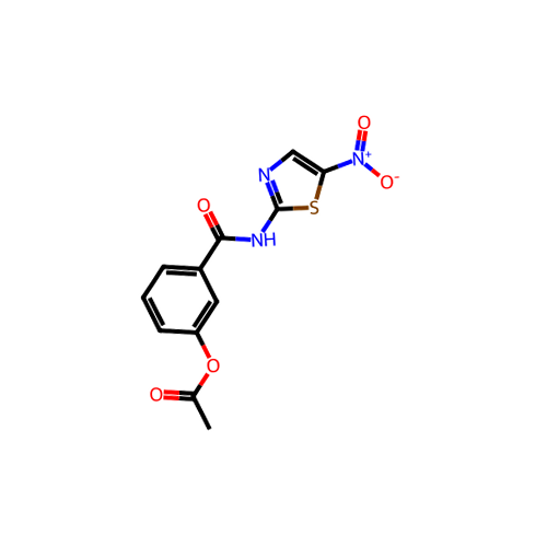 CC(=O)Oc1cccc(C(=O)Nc2ncc([N+](=O)[O-])s2)c1